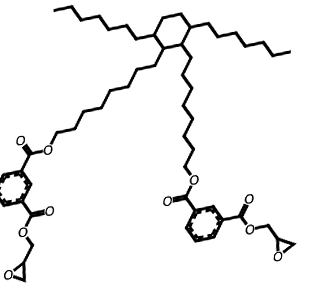 CCCCCCCC1CCC(CCCCCCC)C(CCCCCCCCOC(=O)c2cccc(C(=O)OCC3CO3)c2)C1CCCCCCCCOC(=O)c1cccc(C(=O)OCC2CO2)c1